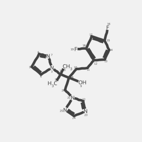 CC(C)(n1cccn1)C(O)(CCc1ccc(F)cc1F)Cn1cncn1